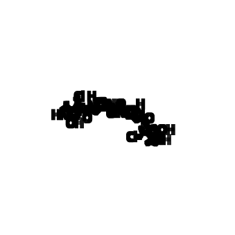 Cc1c[nH]c2c(O)cc3c(c12)[C@H](CCl)CN3C(=O)c1cc2cc(NC(=O)C(=O)Nc3ccc4[nH]c(C(=O)N5C[C@H](CCl)c6c5cc(O)c5[nH]cc(C)c65)cc4c3)ccc2[nH]1